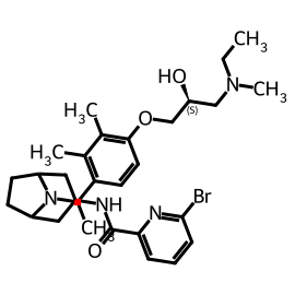 CCN(C)C[C@H](O)COc1ccc(C(C)N2C3CCC2CC(NC(=O)c2cccc(Br)n2)C3)c(C)c1C